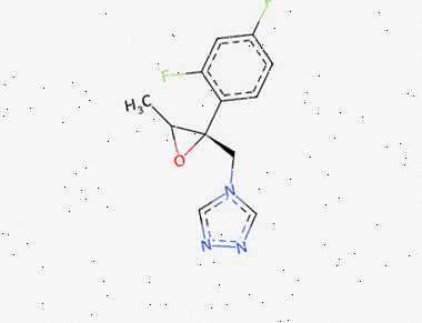 CC1O[C@@]1(Cn1cnnc1)c1ccc(F)cc1F